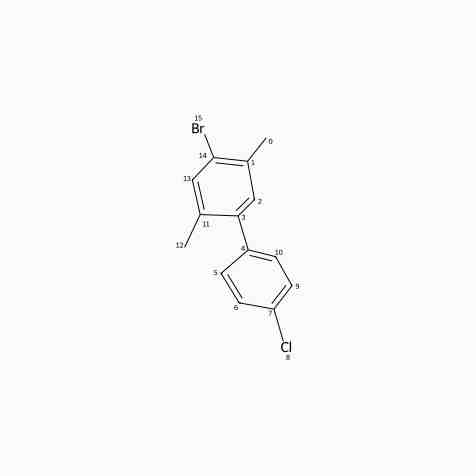 Cc1cc(-c2ccc(Cl)cc2)c(C)cc1Br